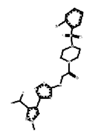 Cn1cc(-c2nnc(SCC(=O)N3CCN(S(=O)(=O)c4ccccc4Br)CC3)o2)c(C(F)F)n1